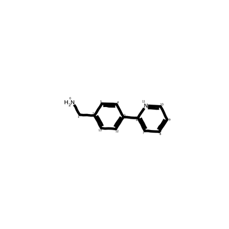 NCc1ccc(-c2c[c]ccn2)cc1